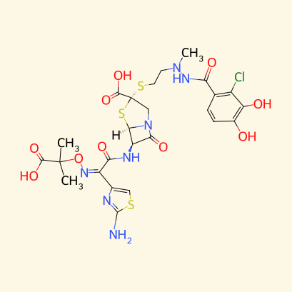 CN(CCS[C@]1(C(=O)O)CN2C(=O)[C@@H](NC(=O)/C(=N\OC(C)(C)C(=O)O)c3csc(N)n3)[C@H]2S1)NC(=O)c1ccc(O)c(O)c1Cl